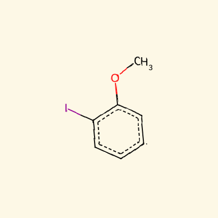 COc1c[c]ccc1I